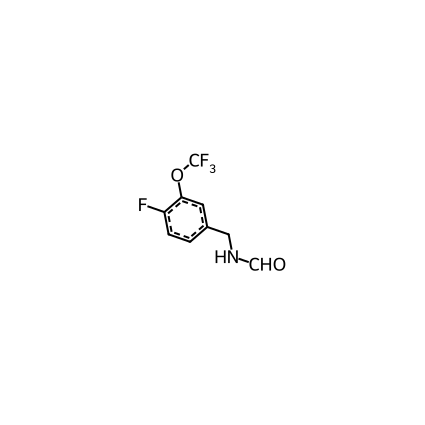 O=CNCc1ccc(F)c(OC(F)(F)F)c1